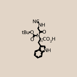 CC(C)(C)OC(=O)N(C(=O)CNC#N)[C@@H](Cc1c[nH]c2ccccc12)C(=O)O